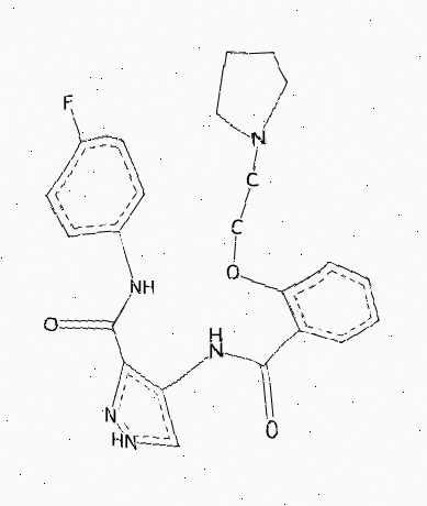 O=C(Nc1c[nH]nc1C(=O)Nc1ccc(F)cc1)c1ccccc1OCCN1CCCC1